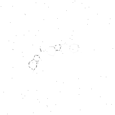 O=C(c1cc2ccc(Cl)cc2[nH]1)N1CCc2nc(N[C@H]3CC[C@@H](O)CC3)sc2C1